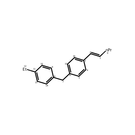 CCC/C=C/c1ccc(Cc2ccc(CC)cc2)cc1